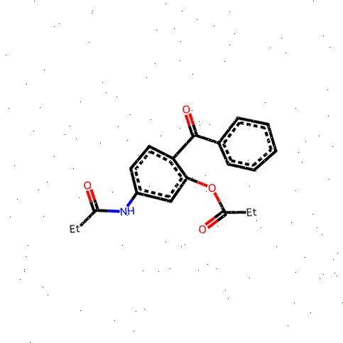 CCC(=O)Nc1ccc(C(=O)c2ccccc2)c(OC(=O)CC)c1